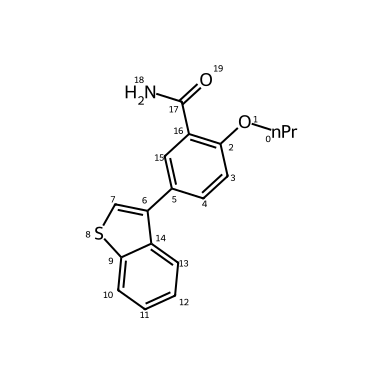 CCCOc1ccc(-c2csc3ccccc23)cc1C(N)=O